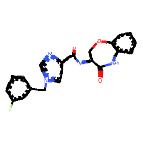 O=C1Nc2ccccc2OC/C1=N\C(=O)c1cn(Cc2cccc(F)c2)cn1